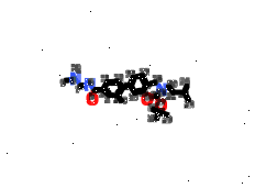 Cc1cc(C(=O)/N=C/N(C)C)ccc1-c1ccc(CN(CCC(C)C)C(=O)OC(C)(C)C)cc1